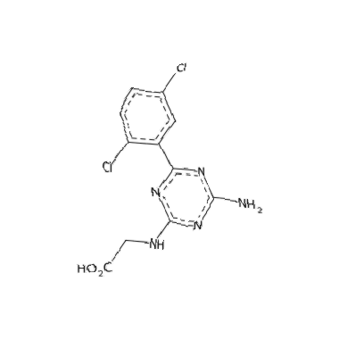 Nc1nc(NCC(=O)O)nc(-c2cc(Cl)ccc2Cl)n1